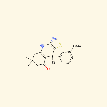 CCC1(c2cccc(OC)c2)C2=C(CC(C)(C)CC2=O)Nc2ncsc21